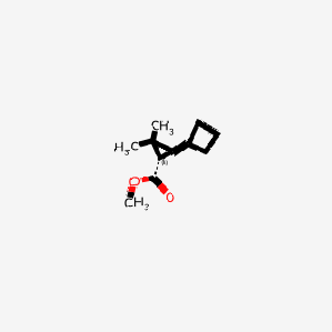 COC(=O)[C@H]1C(=C2CCC2)C1(C)C